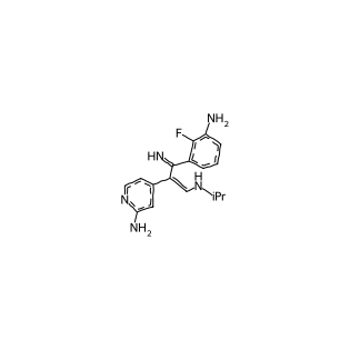 CC(C)N/C=C(\C(=N)c1cccc(N)c1F)c1ccnc(N)c1